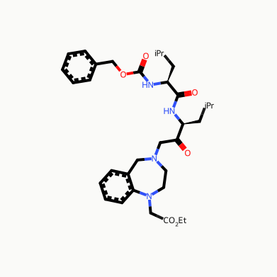 CCOC(=O)CN1CCN(CC(=O)[C@H](CC(C)C)NC(=O)[C@H](CC(C)C)NC(=O)OCc2ccccc2)Cc2ccccc21